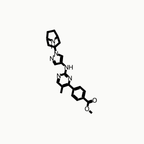 COC(=O)c1ccc(-c2nc(Nc3cnn(C4CC5CCC(C4)N5)c3)ncc2C)cc1